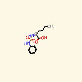 CCCC[C@H](NS(=O)(=O)Nc1ccccc1)C(=O)O